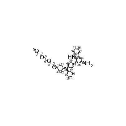 COCCOCCOCCOc1ccc(-n2c3ccccc3c3cc(-c4cc(N)cc5c4[nH]c4ccccc45)ccc32)cc1